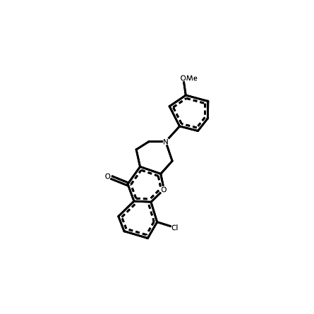 COc1cccc(N2CCc3c(oc4c(Cl)cccc4c3=O)C2)c1